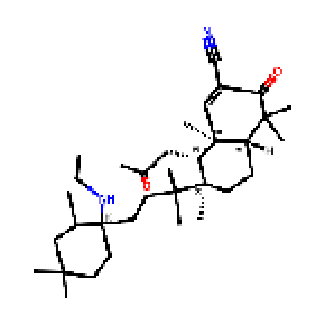 CCN[C@]1(CCC(C)(C)[C@]2(C)CC[C@H]3C(C)(C)C(=O)C(C#N)=C[C@]3(C)[C@H]2CC(C)=O)CCC(C)(C)CC1C